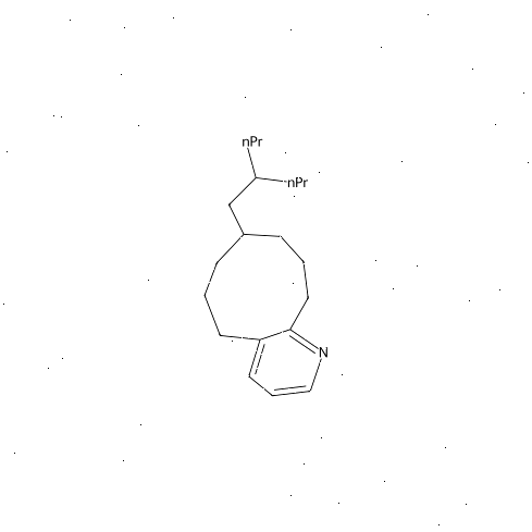 CCCC(CCC)CC1CCCc2cccnc2CCC1